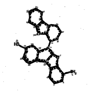 Bc1cccc2c1nc1n(-c3nccc4c3oc3ccccc34)c3cc(O)ccc3n21